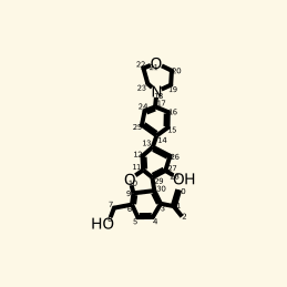 C=C(C)c1ccc(CO)c2oc3cc(-c4ccc(N5CCOCC5)cc4)cc(O)c3c12